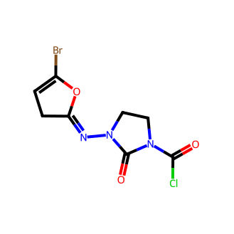 O=C(Cl)N1CCN(N=C2CC=C(Br)O2)C1=O